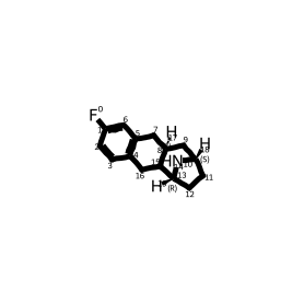 Fc1ccc2c(c1)C[C@H]1C[C@@H]3CC[C@@H](N3)C1C2